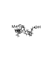 COc1ncc(-c2ccc3ncc(C#CCO)n3c2)cc1NS(=O)(=O)C1CC1